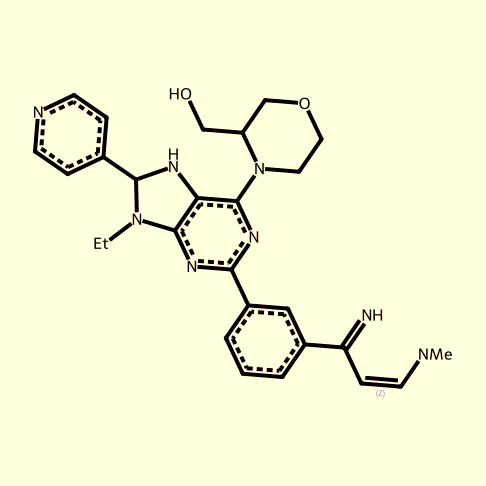 CCN1c2nc(-c3cccc(C(=N)/C=C\NC)c3)nc(N3CCOCC3CO)c2NC1c1ccncc1